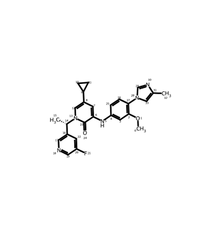 COc1cc(Nc2cc(C3CC3)cn([C@@H](C)c3cncc(F)c3)c2=O)ccc1-n1cnc(C)c1